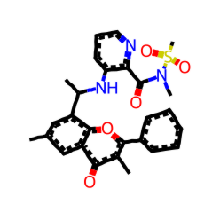 Cc1cc(C(C)Nc2cccnc2C(=O)N(C)S(C)(=O)=O)c2oc(-c3ccccc3)c(C)c(=O)c2c1